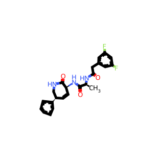 C[C@H](NC(=O)Cc1cc(F)cc(F)c1)C(=O)N[C@H]1C=C[C@H](c2ccccc2)CNC1=O